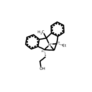 CC[C@]12c3ccccc3C3(C)c4ccccc4[C@]4(CCO)C1[N+]324